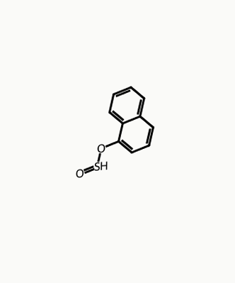 O=[SH]Oc1cccc2ccccc12